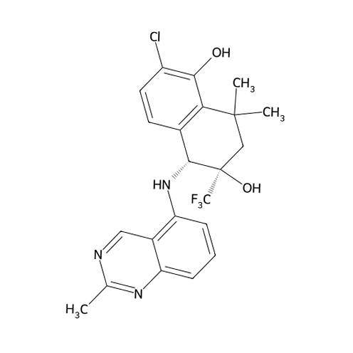 Cc1ncc2c(N[C@@H]3c4ccc(Cl)c(O)c4C(C)(C)C[C@]3(O)C(F)(F)F)cccc2n1